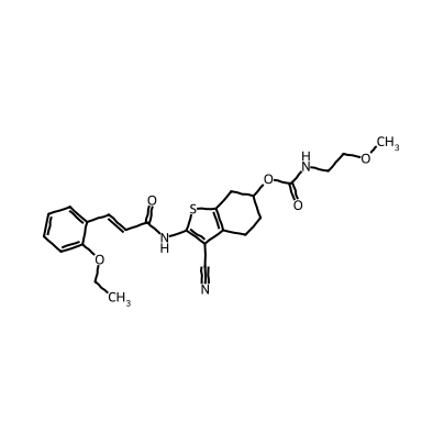 CCOc1ccccc1C=CC(=O)Nc1sc2c(c1C#N)CCC(OC(=O)NCCOC)C2